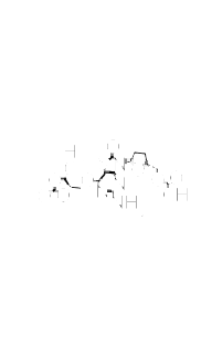 CC(=O)OC[C@@H]1CC[C@H](n2c(=O)sc3c(OCc4oc(=O)oc4C)nc(N)nc32)O1